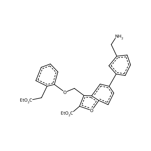 CCOC(=O)Cc1ccccc1OCc1c(C(=O)OCC)oc2ccc(-c3cccc(CN)c3)cc12